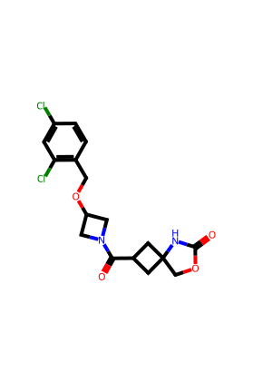 O=C1NC2(CO1)CC(C(=O)N1CC(OCc3ccc(Cl)cc3Cl)C1)C2